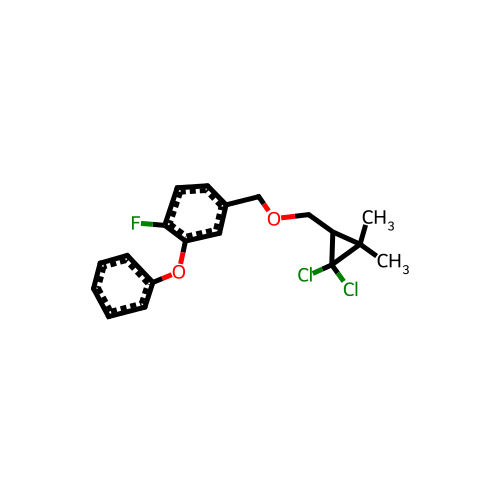 CC1(C)C(COCc2ccc(F)c(Oc3ccccc3)c2)C1(Cl)Cl